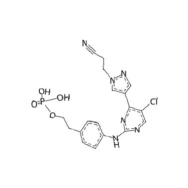 N#CCCn1cc(-c2nc(Nc3ccc(CCOP(=O)(O)O)cc3)ncc2Cl)cn1